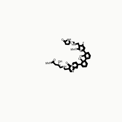 CNC(=O)C[C@H](O)CNCc1cnc2cc(-c3cccc(-c4cccc(-c5cc(F)c(CNC[C@@H]6CCC(=O)N6)c(OC)n5)c4Cl)c3Cl)ccn2c1=O